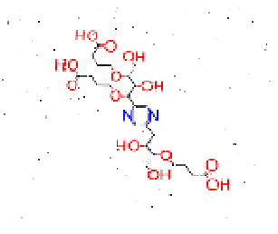 O=C(O)CCCO[C@H](c1cnc(C[C@H](O)[C@@H](CO)OCCCC(=O)O)cn1)[C@H](O)[C@@H](CO)OCCCC(=O)O